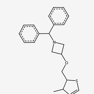 CC1C=CSC1COC1CN(C(c2ccccc2)c2ccccc2)C1